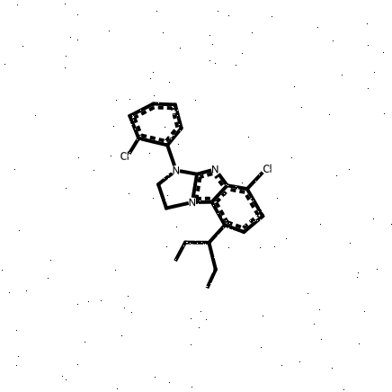 CCC(CC)c1ccc(Cl)c2nc3n(c12)CCN3c1ccccc1Cl